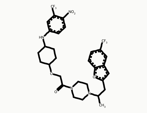 CC(Cc1cc2cc(C(F)(F)F)ccc2o1)N1CCN(C(=O)COC2CCC(Nc3ccc([N+](=O)[O-])c(C(F)(F)F)c3)CC2)CC1